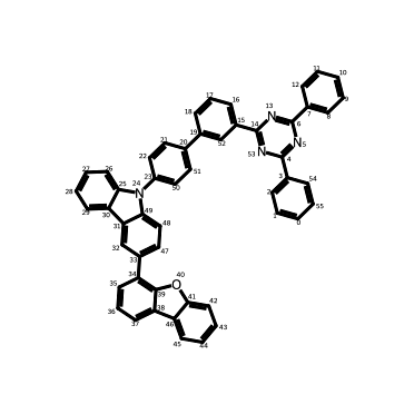 c1ccc(-c2nc(-c3ccccc3)nc(-c3cccc(-c4ccc(-n5c6ccccc6c6cc(-c7cccc8c7oc7ccccc78)ccc65)cc4)c3)n2)cc1